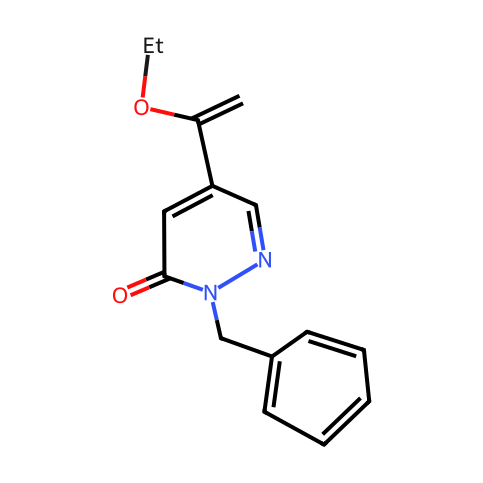 C=C(OCC)c1cnn(Cc2ccccc2)c(=O)c1